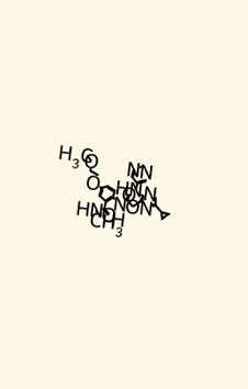 CNC(=O)c1cc(OCCOC)ccc1NC(=O)Oc1nc(C2CC2)cnc1Nc1cncnc1